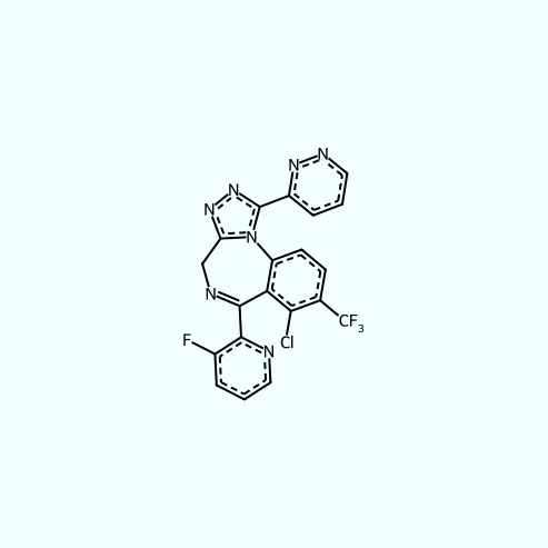 Fc1cccnc1C1=NCc2nnc(-c3cccnn3)n2-c2ccc(C(F)(F)F)c(Cl)c21